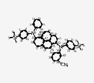 C[Si](C)(C)c1ccc(N(c2ccccc2)c2ccc3ccc4c(N(c5ccc([Si](C)(C)C)cc5)c5cccc(C#N)c5)ccc5ccc2c3c54)cc1